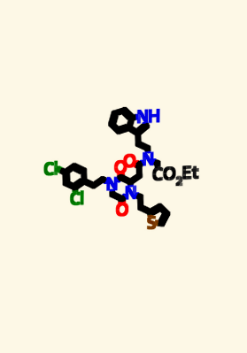 CCOC(=O)CN(CCc1c[nH]c2ccccc12)C(=O)CC1C(=O)N(CCc2ccc(Cl)cc2Cl)CC(=O)N1CCc1cccs1